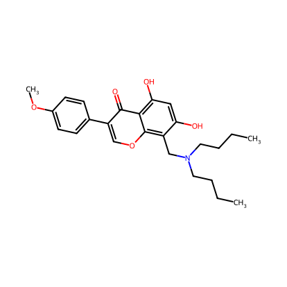 CCCCN(CCCC)Cc1c(O)cc(O)c2c(=O)c(-c3ccc(OC)cc3)coc12